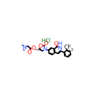 CN(C)CC(=O)OC[C@H]1CN(c2ccc3cc(-c4ccccc4C(F)(F)F)[nH]c(=O)c3c2)C(=O)O1.Cl